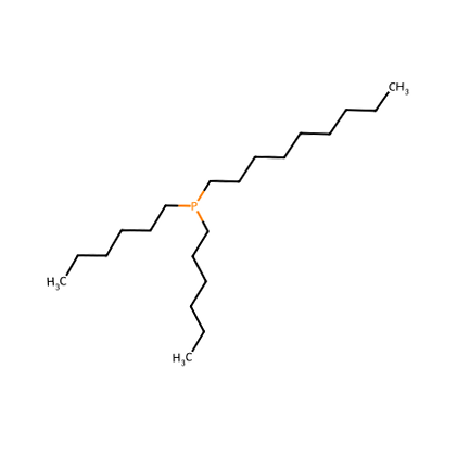 CCCCCCCCCP(CCCCCC)CCCCCC